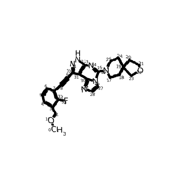 COCc1cccc(C#Cc2n[nH]c3nc(N4CCC5(CCOC5)CC4)n4ccnc4c23)c1F